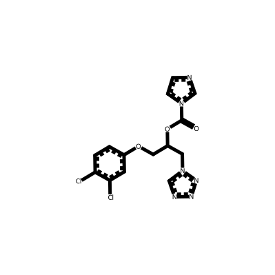 O=C(OC(COc1ccc(Cl)c(Cl)c1)Cn1cnnn1)n1ccnc1